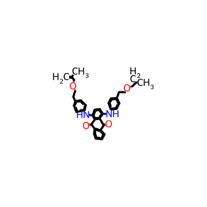 C=C(C)COCCc1ccc(Nc2ccc(Nc3ccc(CCOCC(=C)C)cc3)c3c2C(=O)c2ccccc2C3=O)cc1